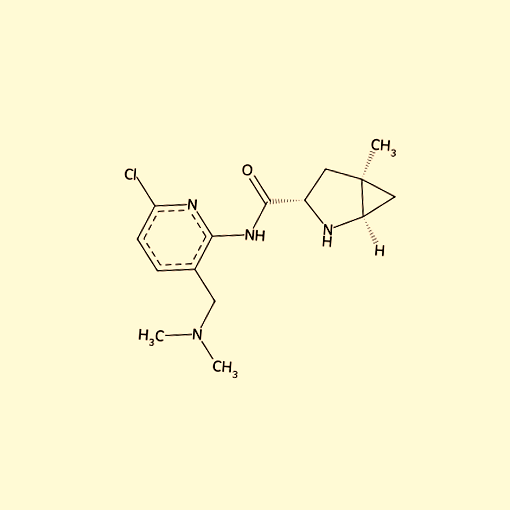 CN(C)Cc1ccc(Cl)nc1NC(=O)[C@@H]1C[C@@]2(C)C[C@H]2N1